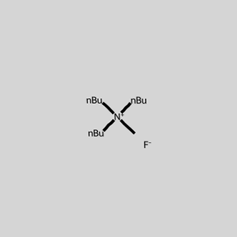 CCCC[N+](C)(CCCC)CCCC.[F-]